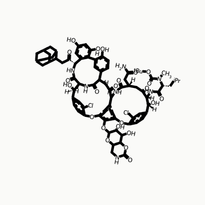 CC(C)C[C@H](C(=O)N[C@H]1C(=O)C[C@@H](CC(N)=O)C(=O)N[C@H]2C(=O)C[C@H]3C(=O)N[C@H](C(=O)N[C@H](C(=O)CC4C5CC6CC(C5)CC4C6)c4cc(O)cc(O)c4-c4cc3ccc4O)[C@H](O)c3ccc(c(Cl)c3)Oc3cc2cc(c3OC2OC3CNC(=O)OC3C(O)C2O)Oc2ccc(cc2Cl)[C@H]1O)N(C)C(=O)OC(C)(C)C